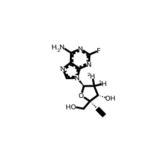 [2H]C1([2H])[C@H](n2cnc3c(N)nc(F)nc32)O[C@](C#C)(CO)[C@H]1O